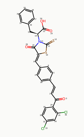 O=C(/C=C/c1ccc(/C=C2\SC(=S)N([C@@H](Cc3ccccc3)C(=O)O)C2=O)cc1)c1ccc(Cl)cc1Cl